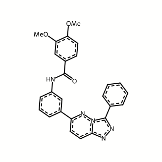 COc1ccc(C(=O)Nc2cccc(-c3ccc4nnc(-c5ccccc5)n4n3)c2)cc1OC